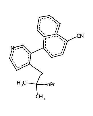 CCCC(C)(C)Sc1ccncc1-c1ccc(C#N)c2ccccc12